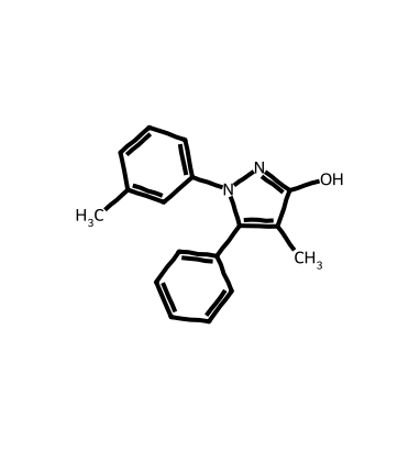 Cc1cccc(-n2nc(O)c(C)c2-c2ccccc2)c1